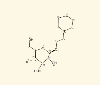 OCC1O[C@@H](OCCN2CCOCC2)C(O)C(O)[C@@H]1O